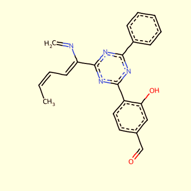 C=N/C(=C\C=C/C)c1nc(-c2ccccc2)nc(-c2ccc(C=O)cc2O)n1